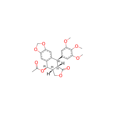 COc1cc([C@@H]2c3cc4c(cc3[C@H](OC(C)=O)[C@H]3COC(=O)[C@@H]23)OCO4)cc(OC)c1OC